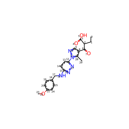 CCC(C(=O)O)C(=O)c1cnn(-c2ccc(NCc3ccc(OC)cc3)nn2)c1C